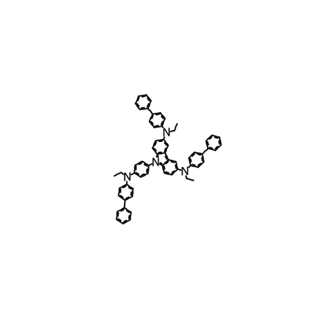 CCN(c1ccc(-c2ccccc2)cc1)c1ccc(-n2c3ccc(N(CC)c4ccc(-c5ccccc5)cc4)cc3c3cc(N(CC)c4ccc(-c5ccccc5)cc4)ccc32)cc1